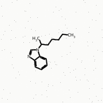 CCCCCC(C)n1cnc2ccccc21